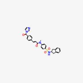 CN(C(=O)C=Cc1ccc(C(=O)n2ccnc2)cc1)c1ccc(S(=O)(=O)NC2Cc3ccccc3C2)cc1